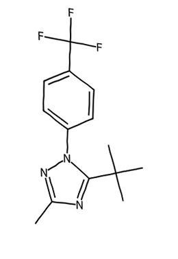 Cc1nc(C(C)(C)C)n(-c2ccc(C(F)(F)F)cc2)n1